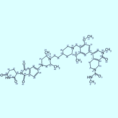 CNC(=O)N1CCc2c(-c3cc(OC)c(CN4CCC(CCN5C(C)CN(c6ccc7c(c6)C(=O)N(C6CCC(=O)NC6=O)C7=O)CC5C)CC4)c(OC)c3)cn(C)c(=O)c2C1